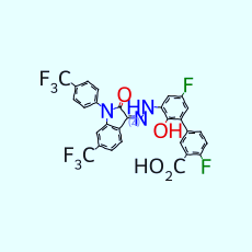 O=C(O)c1cc(-c2cc(F)cc(N/N=C3\C(=O)N(c4ccc(C(F)(F)F)cc4)c4cc(C(F)(F)F)ccc43)c2O)ccc1F